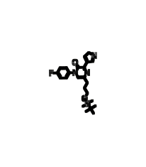 CC(C)(C)[Si](C)(C)OCCCc1cn(-c2ccc(F)cc2)c(=O)c(C2=CCN=C2)n1